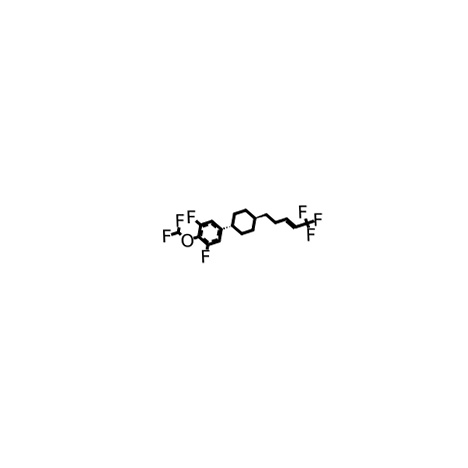 Fc1cc([C@H]2CC[C@H](CCC=CC(F)(F)F)CC2)cc(F)c1OC(F)F